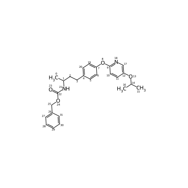 CC(CCc1ccc(Oc2ccc(OC(C)C)cn2)cc1)NC(=O)OCc1ccccc1